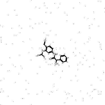 CC(C(=O)Nc1ccc(C=O)c(OC(F)F)c1)c1ccccc1